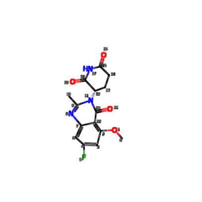 COc1cc(F)cc2nc(C)n([C@H]3CCC(=O)NC3=O)c(=O)c12